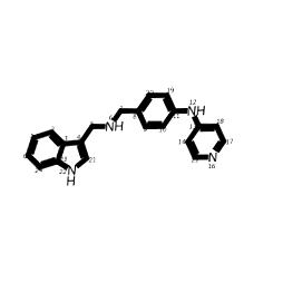 c1ccc2c(CNCc3ccc(Nc4ccncc4)cc3)c[nH]c2c1